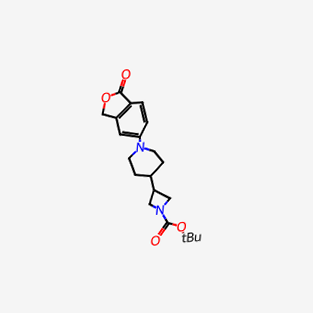 CC(C)(C)OC(=O)N1CC(C2CCN(c3ccc4c(c3)COC4=O)CC2)C1